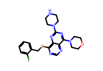 Fc1ccccc1CSc1ncnc2c(N3CCOCC3)nc(N3CCNCC3)nc12